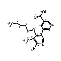 CCCCCOc1c(-c2cccc(C(=O)O)c2)ccc(F)c1C